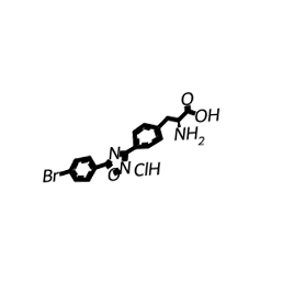 Cl.N[C@@H](Cc1ccc(-c2noc(-c3ccc(Br)cc3)n2)cc1)C(=O)O